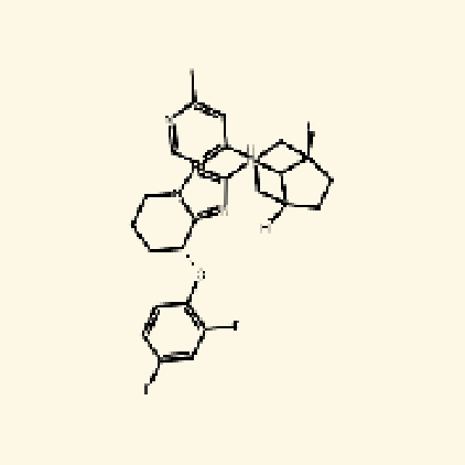 Cc1cc(N2C[C@H]3CC[C@@H](C2)C3Nc2nc3n(n2)CCC[C@H]3Oc2ccc(F)cc2F)ncn1